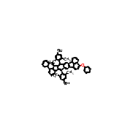 Cc1cc(C(C)(C)C)cc(C)c1-c1c2cc3c(cc2c(-c2c(C)cc(C(C)(C)C)cc2C)c2c4cc5ccccc5c5cccc(c12)c54)c1cccc2c(Oc4ccccc4)ccc3c21